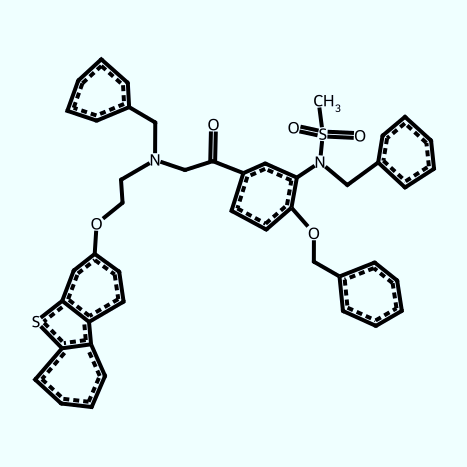 CS(=O)(=O)N(Cc1ccccc1)c1cc(C(=O)CN(CCOc2ccc3c(c2)sc2ccccc23)Cc2ccccc2)ccc1OCc1ccccc1